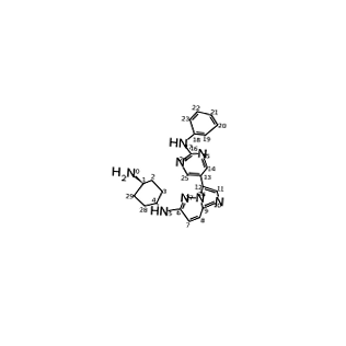 N[C@H]1CC[C@H](Nc2ccc3ncc(-c4cnc(Nc5ccccc5)nc4)n3n2)CC1